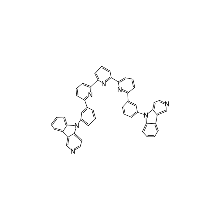 c1cc(-c2cccc(-c3cccc(-c4cccc(-c5cccc(-n6c7ccccc7c7cnccc76)c5)n4)n3)n2)cc(-n2c3ccccc3c3cnccc32)c1